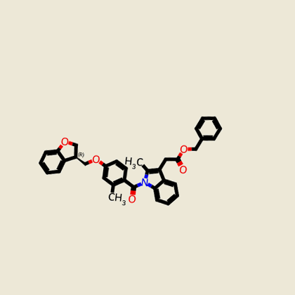 Cc1cc(OC[C@@H]2COc3ccccc32)ccc1C(=O)n1c(C)c(CC(=O)OCc2ccccc2)c2ccccc21